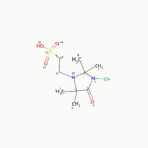 CC1(C)C(=O)N(Cl)C(C)(C)N1CCS(=O)(=O)O